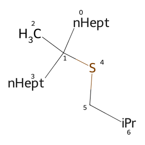 CCCCCCCC(C)(CCCCCCC)SCC(C)C